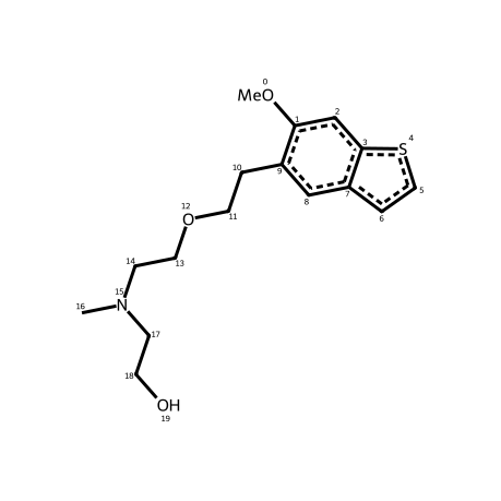 COc1cc2sccc2cc1CCOCCN(C)CCO